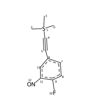 CS(C)(C)C#Cc1ccc(F)c(N=O)c1